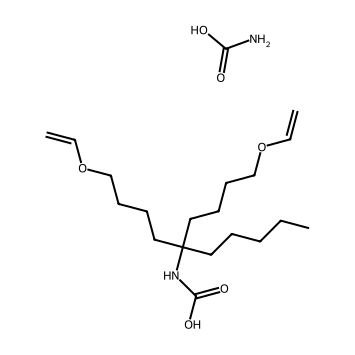 C=COCCCCC(CCCCC)(CCCCOC=C)NC(=O)O.NC(=O)O